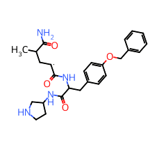 CC(C[CH]C(=O)NC(Cc1ccc(OCc2ccccc2)cc1)C(=O)NC1CCNC1)C(N)=O